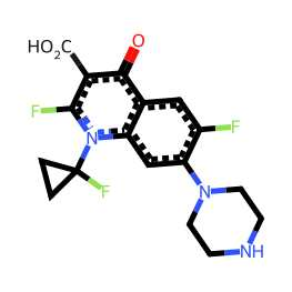 O=C(O)c1c(F)n(C2(F)CC2)c2cc(N3CCNCC3)c(F)cc2c1=O